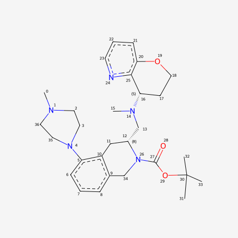 CN1CCN(c2cccc3c2C[C@H](CN(C)[C@H]2CCOc4cccnc42)N(C(=O)OC(C)(C)C)C3)CC1